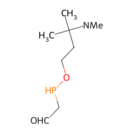 CNC(C)(C)CCOPCC=O